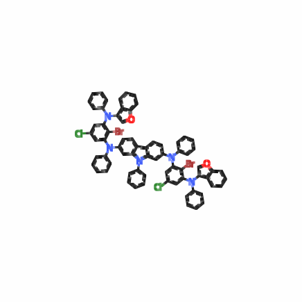 Clc1cc(N(c2ccccc2)c2ccc3c4ccc(N(c5ccccc5)c5cc(Cl)cc(N(c6ccccc6)c6coc7ccccc67)c5Br)cc4n(-c4ccccc4)c3c2)c(Br)c(N(c2ccccc2)c2coc3ccccc23)c1